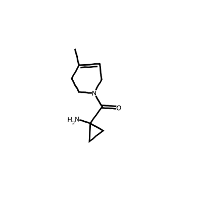 CC1=CCN(C(=O)C2(N)CC2)CC1